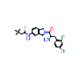 CC(C)(C)CC(=O)Nc1ccc2c(c1)CN(C(=O)C(N)Cc1ccc(Cl)cc1Cl)C2